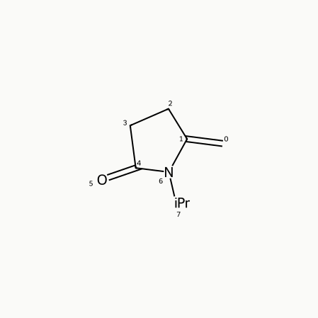 C=C1CCC(=O)N1C(C)C